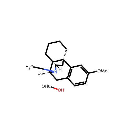 COc1ccc2c(c1)[C@]13CCCC[C@@H]1[C@H](C2)N(C)CC3.O=CO